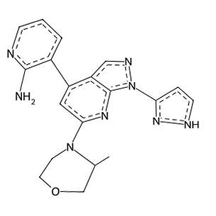 CC1COCCN1c1cc(-c2cccnc2N)c2cnn(-c3cc[nH]n3)c2n1